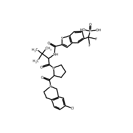 CC(C)(C)C(NC(=O)c1cc2cc(C(F)(F)P(=O)(O)O)ccc2s1)C(=O)N1CCCC1C(=O)N1CCc2ccc(Cl)cc2C1